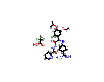 CCOc1cc(C(Nc2ccc(C(=N)N)cc2)C(=O)NNC(=O)c2ccccn2)c(F)cc1OC(C)C.O=C(O)C(F)(F)F